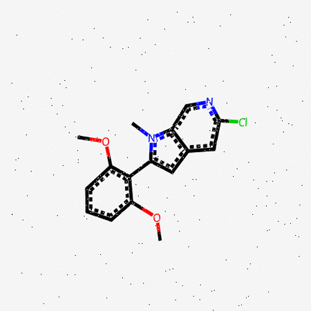 COc1cccc(OC)c1-c1cc2cc(Cl)ncc2n1C